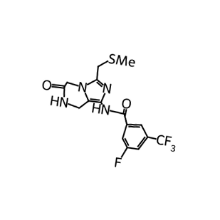 CSCc1nc(NC(=O)c2cc(F)cc(C(F)(F)F)c2)c2n1CC(=O)NC2